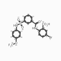 O=C(Nc1ccc(Br)cc1C(=O)O)c1cccc(S(=O)(=O)Nc2ccc(OC(F)(F)F)cc2)c1